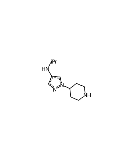 CC(C)Nc1cnn(C2CCNCC2)c1